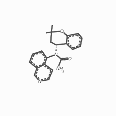 CC1(C)C[C@@H](N(C(N)=O)c2cccc3cnccc23)c2ccccc2O1